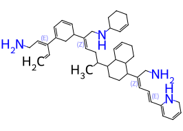 C=C/C(=C\CN)C1=CC=CC(/C(=C/CC(C)C2CCC(/C(=C/C=C/C3=CC=CCN3)CN)C3CCC=CC23)CNC2C=CCCC2)C1